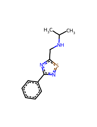 CC(C)NCc1nc(-c2ccccc2)ns1